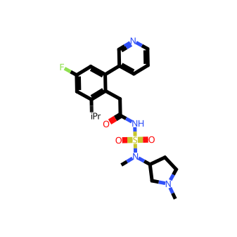 CC(C)c1cc(F)cc(-c2cccnc2)c1CC(=O)NS(=O)(=O)N(C)C1CCN(C)C1